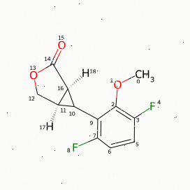 COc1c(F)ccc(F)c1C1[C@H]2COC(=O)[C@@H]12